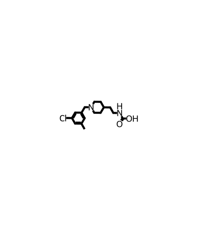 Cc1cc(Cl)cc(CN2CCC(CCNC(=O)O)CC2)c1